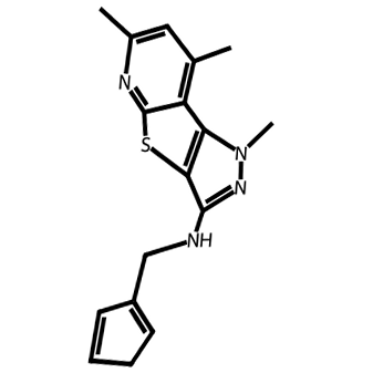 Cc1cc(C)c2c(n1)sc1c(NCC3=CCC=C3)nn(C)c12